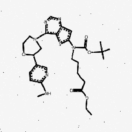 CCOC(=O)CCCCN(C(=O)OC(C)(C)C)c1cc2ncnc(N3CCOC(c4ccc(NC)nc4)C3)c2s1